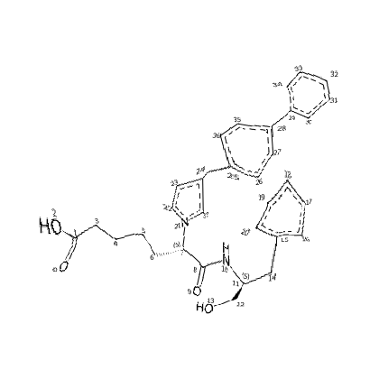 O=C(O)CCCC[C@@H](C(=O)N[C@H](CO)Cc1ccccc1)n1ccc(-c2ccc(-c3ccccc3)cc2)c1